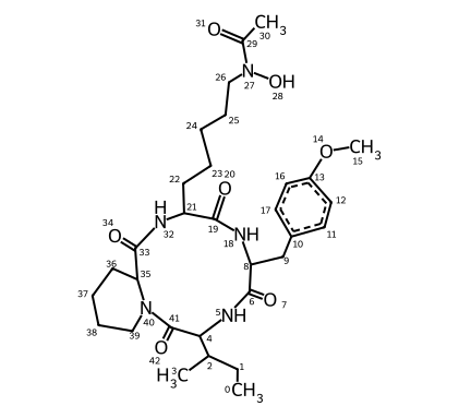 CCC(C)C1NC(=O)C(Cc2ccc(OC)cc2)NC(=O)C(CCCCCN(O)C(C)=O)NC(=O)C2CCCCN2C1=O